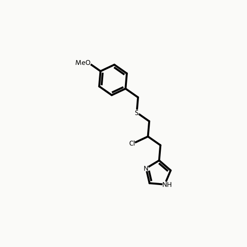 COc1ccc(CSCC(Cl)Cc2c[nH]cn2)cc1